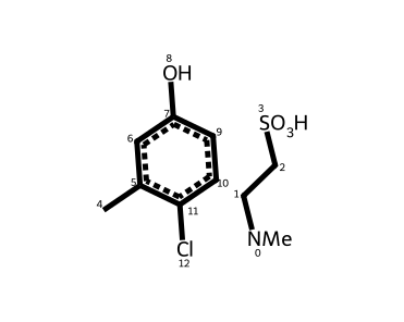 CNCCS(=O)(=O)O.Cc1cc(O)ccc1Cl